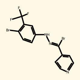 FC(F)(F)c1cc(NN=C(Br)c2ccncc2)ccc1Br